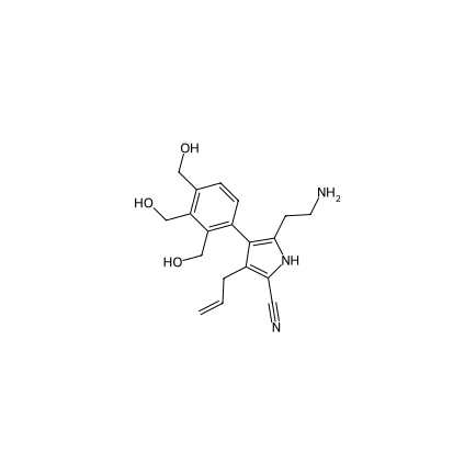 C=CCc1c(C#N)[nH]c(CCN)c1-c1ccc(CO)c(CO)c1CO